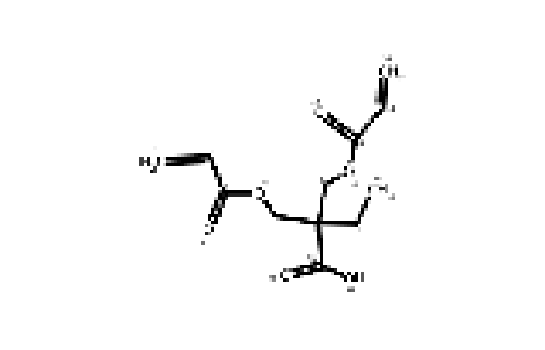 C=CC(=O)OCC(CC)(COC(=O)C=C)C(=O)O